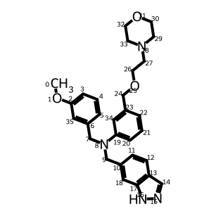 COc1cccc(CN(Cc2ccc3cn[nH]c3c2)c2cccc(COCCN3CCOCC3)c2)c1